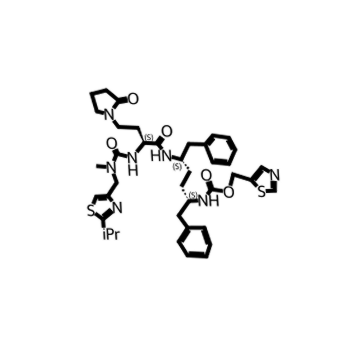 CC(C)c1nc(CN(C)C(=O)N[C@@H](CCN2CCCC2=O)C(=O)N[C@@H](CC[C@@H](Cc2ccccc2)NC(=O)OCc2cncs2)Cc2ccccc2)cs1